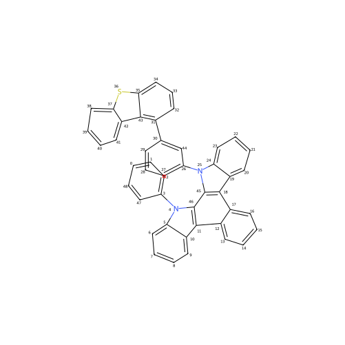 c1ccc(-n2c3ccccc3c3c4ccccc4c4c5ccccc5n(-c5cccc(-c6cccc7sc8ccccc8c67)c5)c4c32)cc1